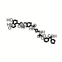 O=C(COc1cccc([C@](O)(C(=O)O)c2ccccc2)c1)NC1CC(NC(=O)c2ccc(CNC[C@H](O)c3ccc(O)c4[nH]c(=O)ccc34)c(F)c2)C1